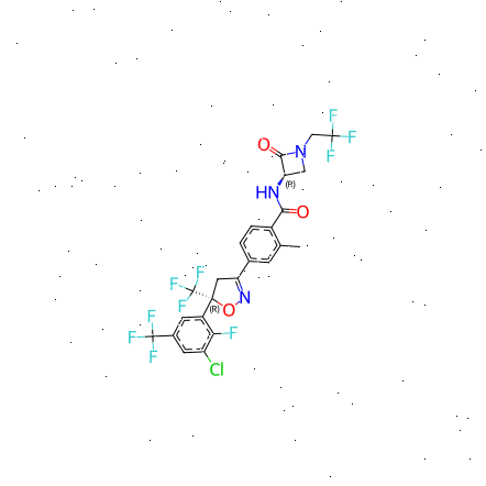 Cc1cc(C2=NO[C@](c3cc(C(F)(F)F)cc(Cl)c3F)(C(F)(F)F)C2)ccc1C(=O)N[C@@H]1CN(CC(F)(F)F)C1=O